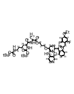 CCOc1cc(F)c(Cn2nc(-c3ncc(OCCCOC(=O)[C@H](C)NC(=O)[C@H](CCCCNC(=O)OC(C)(C)C)NC(=O)OC(C)(C)C)c(Nc4ccncc4Cl)n3)c3ccccc32)c(F)c1